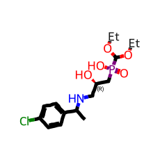 CCOC(OCC)P(=O)(O)C[C@H](O)CNC(C)c1ccc(Cl)cc1